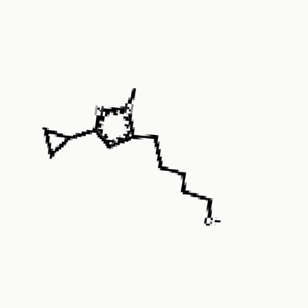 Cn1nc(C2CC2)cc1CCCCCO